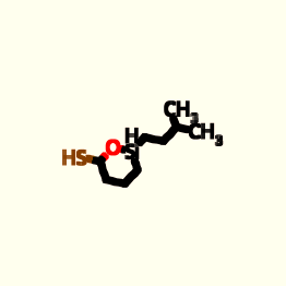 CC(C)CC[SiH]1CCCC(S)O1